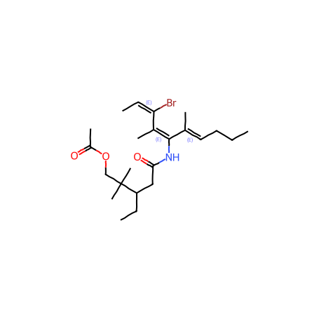 C\C=C(Br)/C(C)=C(NC(=O)CC(CC)C(C)(C)COC(C)=O)\C(C)=C\CCC